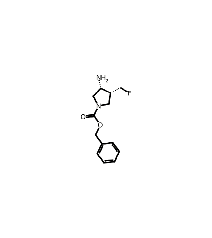 N[C@H]1CN(C(=O)OCc2ccccc2)C[C@H]1CF